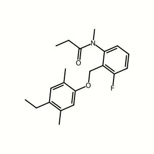 CCC(=O)N(C)c1cccc(F)c1COc1cc(C)c(CC)cc1C